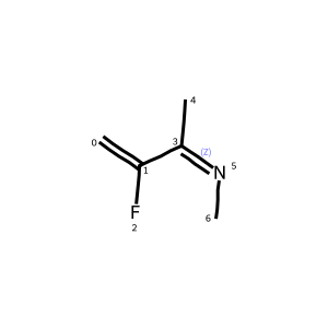 C=C(F)/C(C)=N\C